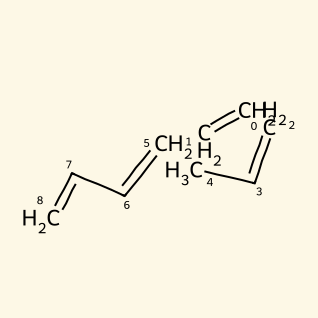 C=C.C=CC.C=CC=C